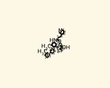 Cc1cc(NC(=O)/C=C/c2cccnc2)ccc1N1CCC(N2CCCC2C)C1.O=C(O)C(F)(F)F